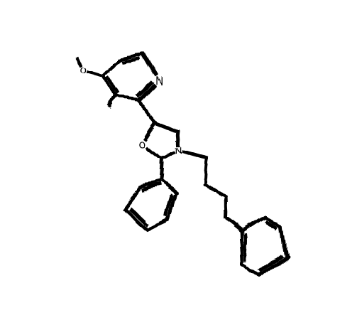 COc1ccnc(C2CN(CCCCc3ccccc3)C(c3ccccc3)O2)c1C